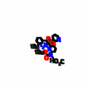 CC(C)(C)OC(=O)N(CC(=O)O)c1cccc(C(N)(Cc2cccc(C(C)(C)C)c2)S(=O)(=O)c2cccnc2)n1